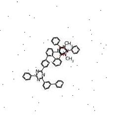 Cc1cc(-c2cccc(-c3ccc(-c4nc(-c5ccccc5)nc(-c5cccc(-c6ccccc6)c5)n4)cc3)c2-c2ccccc2-c2nc(-c3ccccc3)nc(-c3ccccc3)n2)cc(C)n1